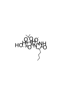 CCCCc1c[n+]([C@@H]2O[C@H](CO)[C@H]3OC(C)(C)O[C@H]32)c(OC)[nH]c1=O